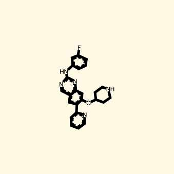 Fc1cccc(Nc2ncc3cc(-c4ccccn4)c(OC4CCNCC4)cc3n2)c1